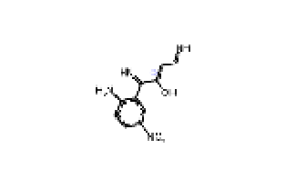 N=C/C=C(\O)C(=N)c1cc([N+](=O)[O-])ccc1N